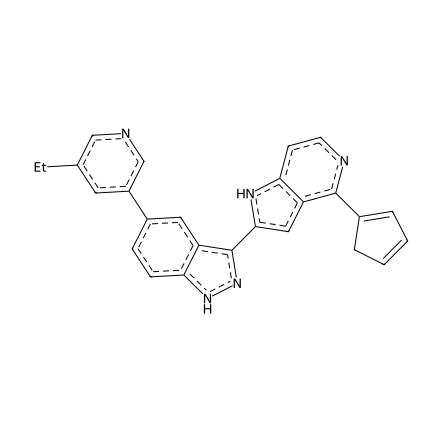 CCc1cncc(-c2ccc3[nH]nc(-c4cc5c(C6=CC=CC6)nccc5[nH]4)c3c2)c1